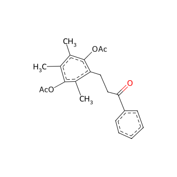 CC(=O)Oc1c(C)c(C)c(OC(C)=O)c(CCC(=O)c2ccccc2)c1C